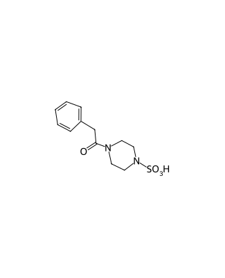 O=C(Cc1ccccc1)N1CCN(S(=O)(=O)O)CC1